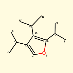 CC(C)c1coc(C(C)C)c1C(C)C